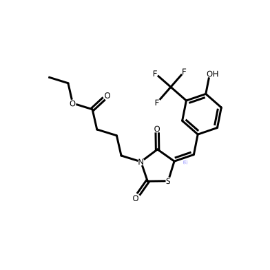 CCOC(=O)CCCN1C(=O)S/C(=C/c2ccc(O)c(C(F)(F)F)c2)C1=O